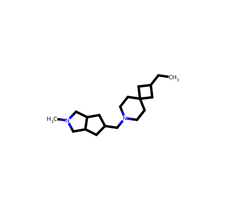 CCC1CC2(CCN(CC3CC4CN(C)CC4C3)CC2)C1